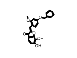 COc1cc(OCc2ccccc2)ccc1/C=C1\Oc2c(ccc(O)c2O)C1=O